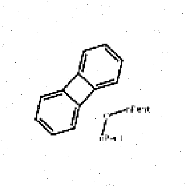 CCCCCOCCCCC.c1ccc2c(c1)-c1ccccc1-2